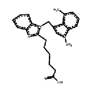 Cc1cccc2c1c(Cn1c(CCCCCC(=O)O)nc3ccccc31)cn2C